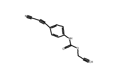 C#CCOC(=O)Nc1ccc(C#CC#N)cc1